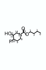 CCCCOC(=O)N1CCC(F)C(O)C1